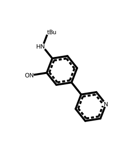 CC(C)(C)Nc1ccc(-c2cccnc2)cc1N=O